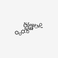 C=CC(=O)N1CCC(C(=O)Nc2sc3nccc4c3c2NC(=O)N4c2ccc(Oc3ccccc3)cc2C)CC1